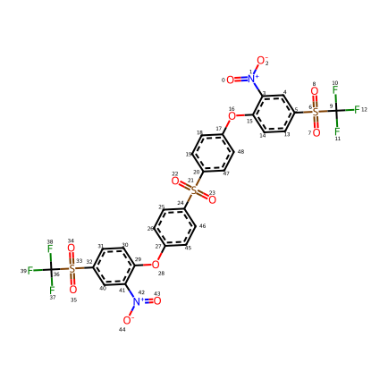 O=[N+]([O-])c1cc(S(=O)(=O)C(F)(F)F)ccc1Oc1ccc(S(=O)(=O)c2ccc(Oc3ccc(S(=O)(=O)C(F)(F)F)cc3[N+](=O)[O-])cc2)cc1